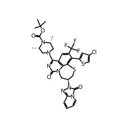 C[C@@H]1CN(c2nc(=O)n3c4c(c(-c5cc(Cl)cs5)c(C(F)(F)F)cc24)SC[C@@H](n2nc4ccccn4c2=O)C3)C[C@H](C)N1C(=O)OC(C)(C)C